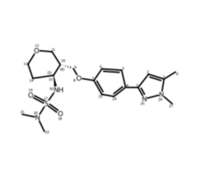 Cc1cc(-c2ccc(OC[C@H]3COCC[C@@H]3NS(=O)(=O)N(C)C)cc2)nn1C